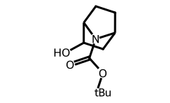 CC(C)(C)OC(=O)N1C2CCC1C(O)C2